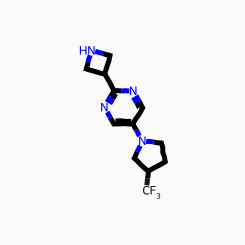 FC(F)(F)C1CCN(c2cnc(C3CNC3)nc2)C1